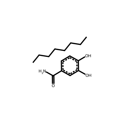 CCCCCCCC.NC(=O)c1ccc(O)c(O)c1